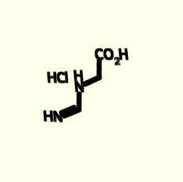 Cl.N=CNCC(=O)O